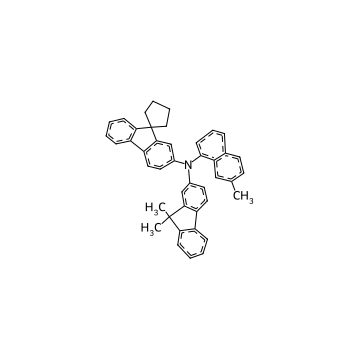 Cc1ccc2cccc(N(c3ccc4c(c3)C(C)(C)c3ccccc3-4)c3ccc4c(c3)C3(CCCC3)c3ccccc3-4)c2c1